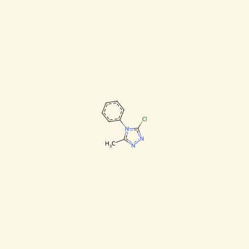 Cc1nnc(Cl)n1-c1ccccc1